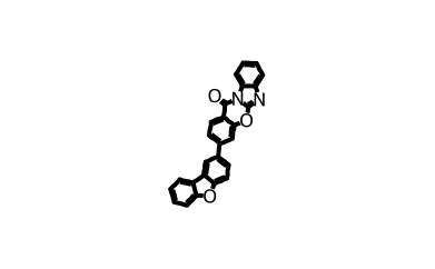 O=c1c2ccc(-c3ccc4oc5ccccc5c4c3)cc2oc2nc3ccccc3n12